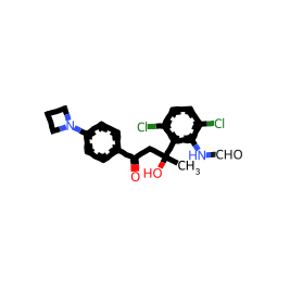 CC(O)(CC(=O)c1ccc(N2CCC2)cc1)c1c(Cl)ccc(Cl)c1NC=O